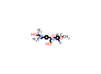 CC(C)Oc1ccc(C(=O)NC(Cc2ccc(-c3cn(C)c(C(C)CO)n3)cc2)CC(O)F)cc1C#N